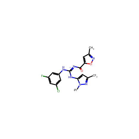 Cc1cc(C(=O)/N=C(/Nc2cc(F)cc(Cl)c2)Nc2cc(C(F)(F)F)nn2C(C)C)on1